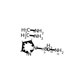 CCCCn1cccn1.CN.CN.CN